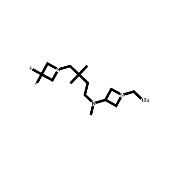 CN(CCC(C)(C)CN1CC(F)(F)C1)C1CN(CC(C)(C)C)C1